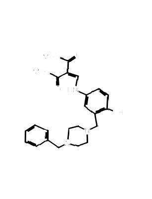 COC(=O)C(=CNc1ccc(C)c(CN2CCN(Cc3ccccc3)CC2)c1)C(=O)OC